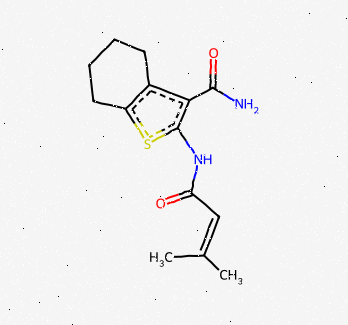 CC(C)=CC(=O)Nc1sc2c(c1C(N)=O)CCCC2